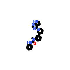 CN(C(=O)Nc1ccccc1)c1cccc(C2CCCN(c3ncnc4[nH]ccc34)C2)c1